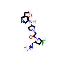 C=NC[C@@H]1CC(F)(F)CN1C(=O)CN1CC[C@H](Nc2cncc3ccoc23)C1